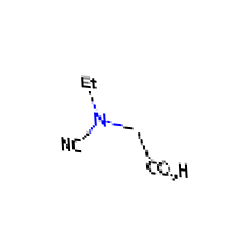 CCN(C#N)CC(=O)O